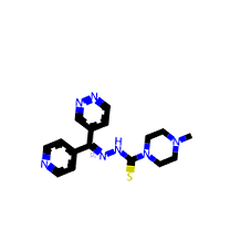 CN1CCN(C(=S)N/N=C(/c2ccncc2)c2ccnnc2)CC1